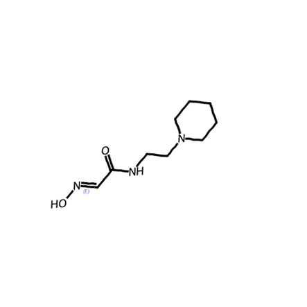 O=C(/C=N/O)NCCN1CCCCC1